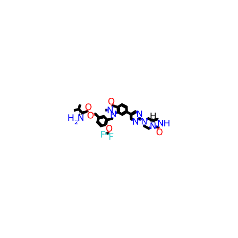 CC(C)[C@H](N)C(=O)OCc1ccc(OC(F)F)c(Cn2c3cc(-c4cnc(N5CCN6C(=O)NC[C@@H]6C5)nc4)ccc3c(=O)n2C)c1